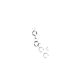 Cn1c(-c2ccc(S(C)(=O)=O)cc2)nc2ccc(C3CCN(C4CCNCC4)[C@@H](C4COC4)C3)c(F)c21